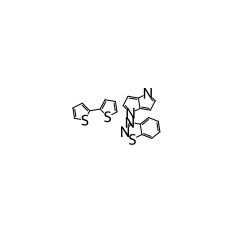 C1=NC2=CC=NC2=C1.c1ccc2snnc2c1.c1csc(-c2cccs2)c1